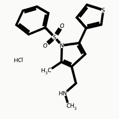 CNCc1cc(-c2ccsc2)n(S(=O)(=O)c2ccccc2)c1C.Cl